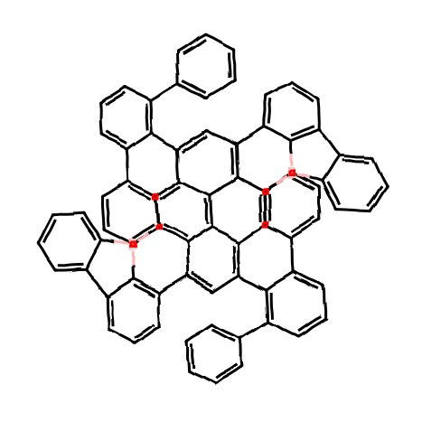 c1ccc(-c2cccc(-c3ccccc3)c2-c2cc3c4c(cc5c(-c6c(-c7ccccc7)cccc6-c6ccccc6)cc6c7c(cc2c4c57)B2c4ccccc4-c4cccc-6c42)B2c4ccccc4-c4cccc-3c42)cc1